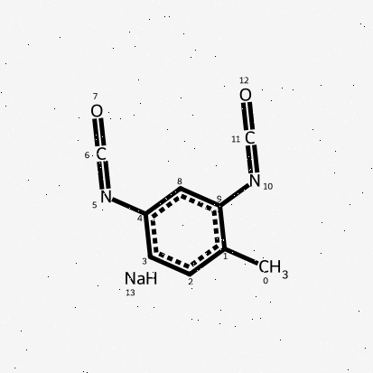 Cc1ccc(N=C=O)cc1N=C=O.[NaH]